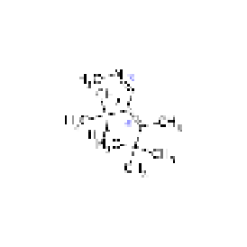 C/N=C\C(=C(/C)C(C)(C)C)C(C)(C)C